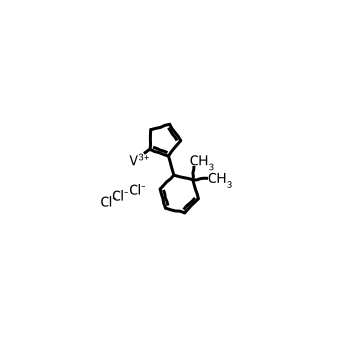 CC1(C)C=CC=CC1C1=[C]([V+3])CC=C1.[Cl-].[Cl-].[Cl-]